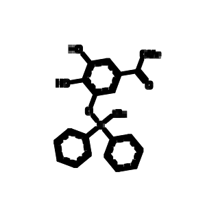 COC(=O)c1cc(O)c(O)c(O[Si](c2ccccc2)(c2ccccc2)C(C)(C)C)c1